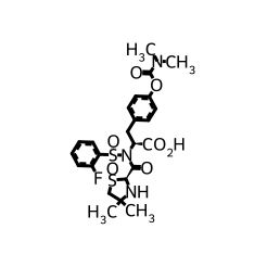 CN(C)C(=O)Oc1ccc(C[C@@H](C(=O)O)N(C(=O)[C@H]2NC(C)(C)CS2)S(=O)(=O)c2ccccc2F)cc1